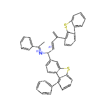 C=C(/C=C/C(/N=C(\C)c1ccccc1)c1ccc2c(c1)sc1cccc(-c3ccccc3)c12)c1cccc2c1sc1ccccc12